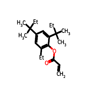 C=CC(=O)Oc1c(CC)cc(C(C)(C)CC)cc1C(C)(C)CC